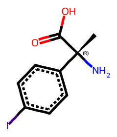 C[C@](N)(C(=O)O)c1ccc(I)cc1